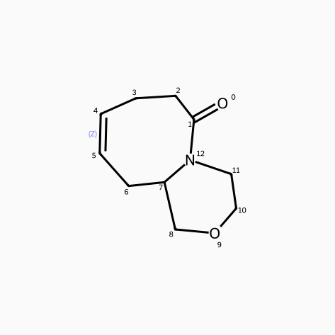 O=C1CC/C=C\CC2COCCN12